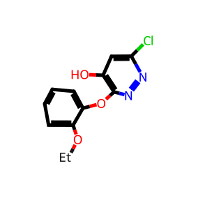 CCOc1ccccc1Oc1nnc(Cl)cc1O